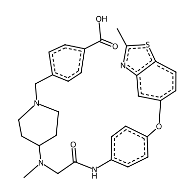 Cc1nc2cc(Oc3ccc(NC(=O)CN(C)C4CCN(Cc5ccc(C(=O)O)cc5)CC4)cc3)ccc2s1